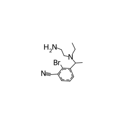 CCN(CCN)C(C)c1cccc(C#N)c1Br